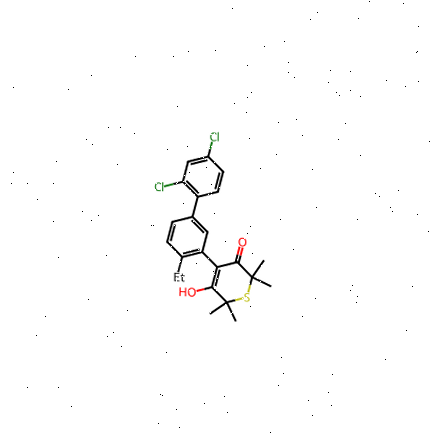 CCc1ccc(-c2ccc(Cl)cc2Cl)cc1C1=C(O)C(C)(C)SC(C)(C)C1=O